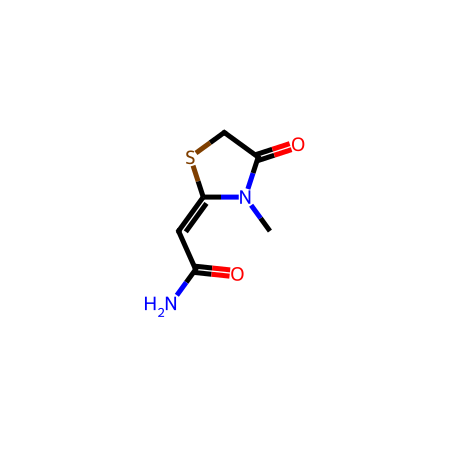 CN1C(=O)CS/C1=C/C(N)=O